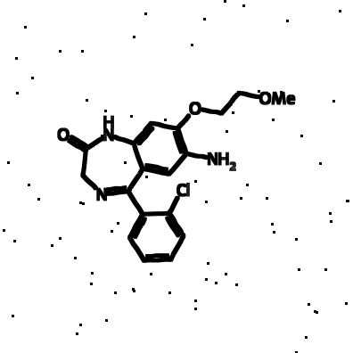 COCCOc1cc2c(cc1N)C(c1ccccc1Cl)=NCC(=O)N2